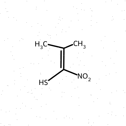 CC(C)=C(S)[N+](=O)[O-]